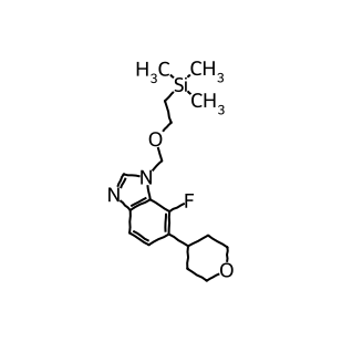 C[Si](C)(C)CCOCn1cnc2ccc(C3CCOCC3)c(F)c21